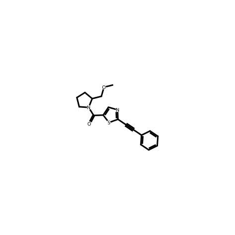 COCC1CCCN1C(=O)c1cnc(C#Cc2ccccc2)s1